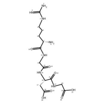 N=C(N)NCCC[C@H](N)C(=O)NCC(=O)N[C@@H](CC(=O)O)C(=O)NCC(=O)O